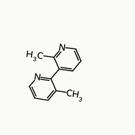 Cc1cccnc1-c1cccnc1C